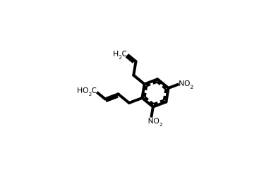 C=CCc1cc([N+](=O)[O-])cc([N+](=O)[O-])c1C/C=C/C(=O)O